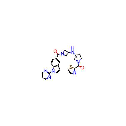 O=C(c1ccc2c(ccn2-c2ncccn2)c1)N1CC(N[C@H]2CCN(C(=O)c3nccs3)C2)C1